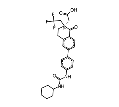 O=C(O)C[C@@]1(CC(F)(F)F)CCc2cc(-c3ccc(NC(=O)NC4CCCCC4)cc3)ccc2C1=O